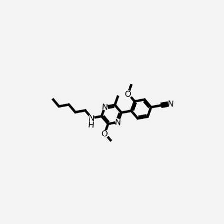 CCCCCNc1nc(C)c(-c2ccc(C#N)cc2OC)nc1OC